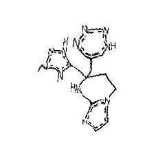 c1cn2c(n1)NC(c1nnn[nH]1)(c1nnn[nH]1)CC2